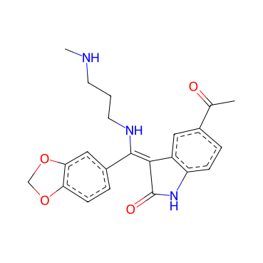 CNCCCNC(=C1C(=O)Nc2ccc(C(C)=O)cc21)c1ccc2c(c1)OCO2